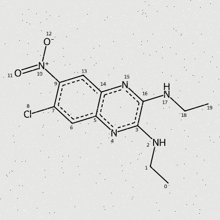 CCNc1nc2cc(Cl)c([N+](=O)[O-])cc2nc1NCC